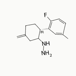 C=C1CC[C@H](c2cc(C)ccc2F)C(NN)C1